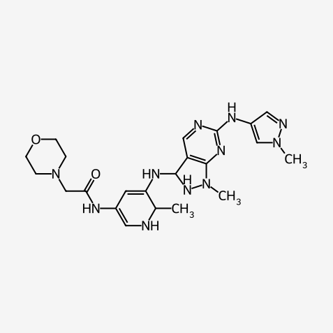 CC1NC=C(NC(=O)CN2CCOCC2)C=C1NC1NN(C)c2nc(Nc3cnn(C)c3)ncc21